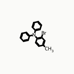 Cc1ccc(N(c2ccccc2)c2ccccc2)c(Br)c1